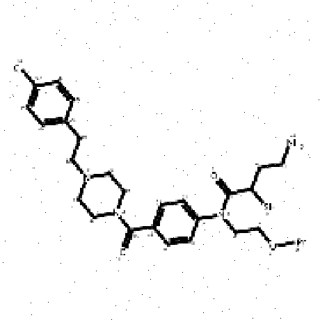 CC(C)OCCN(C(=O)C(S)CCN)c1ccc(C(=O)N2CCN(CCc3ccc(Cl)cc3)CC2)cc1